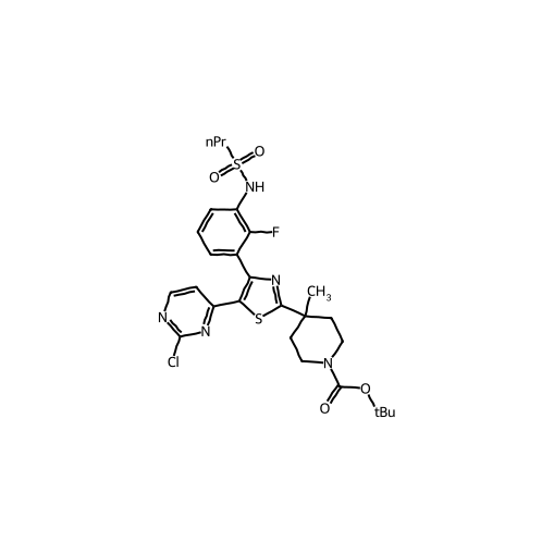 CCCS(=O)(=O)Nc1cccc(-c2nc(C3(C)CCN(C(=O)OC(C)(C)C)CC3)sc2-c2ccnc(Cl)n2)c1F